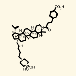 C=C(C)[C@@H]1CC[C@]2(CNCCCN3CCS(O)(O)CC3)CC[C@]3(C)[C@H](CC[C@@H]4[C@@]5(C)CCN(C(=O)CCc6ccc(C(=O)O)cc6)C(C)(C)[C@@H]5CC[C@]43C)[C@@H]12